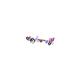 Cc1ccccc1C(=O)N1CCc2cc(-c3nc(NC(=O)Cc4cccc(OCCN5CCN(c6cccc7c6C(=O)N(C6CCC(=O)NC6=O)C7=O)CC5)c4)sc3C)ccc21